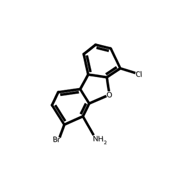 Nc1c(Br)ccc2c1oc1c(Cl)cccc12